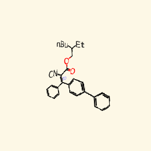 [C-]#[N+]/C(C(=O)OCC(CC)CCCC)=C(\c1ccccc1)c1ccc(-c2ccccc2)cc1